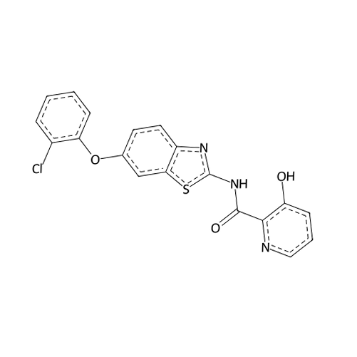 O=C(Nc1nc2ccc(Oc3ccccc3Cl)cc2s1)c1ncccc1O